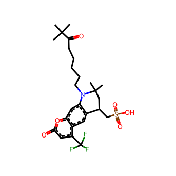 CC(C)(C)C(=O)CCCCCN1c2cc3oc(=O)cc(C(F)(F)F)c3cc2C(CS(=O)(=O)O)CC1(C)C